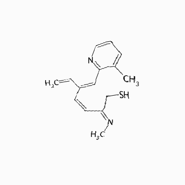 C=CC(/C=C\C(CS)=N/C)=C\c1ncccc1C